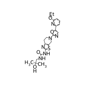 CCOc1cccc(-c2cnc(N3CCc4nc(NC(=O)NCC(C)(C)O)sc4C3)o2)n1